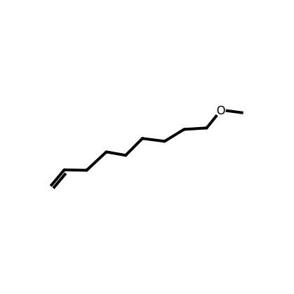 C=CCCCCCCCOC